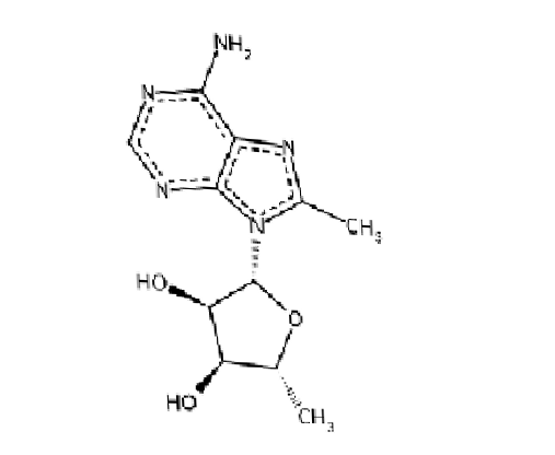 Cc1nc2c(N)ncnc2n1[C@@H]1O[C@H](C)[C@@H](O)[C@H]1O